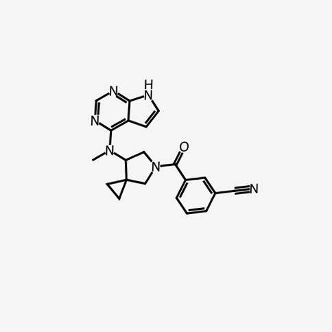 CN(c1ncnc2[nH]ccc12)C1CN(C(=O)c2cccc(C#N)c2)CC12CC2